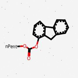 CCCCCOC(=O)Oc1cccc2c1Cc1ccccc1-2